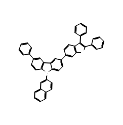 c1ccc(-c2ccc3c(c2)c2cc(-c4ccc5c(-c6ccccc6)c(-c6ccccc6)sc5c4)ccc2n3-c2ccc3ccccc3c2)cc1